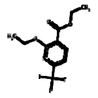 CCOC(=O)c1ccc(C(F)(F)F)nc1SCC